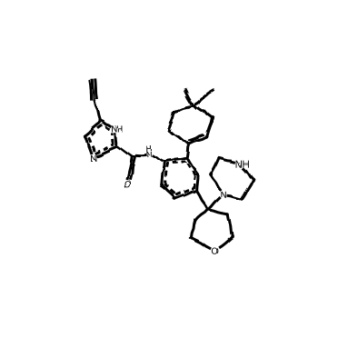 C#Cc1cnc(C(=O)Nc2ccc(C3(N4CCNCC4)CCOCC3)cc2C2=CCC(C)(C)CC2)[nH]1